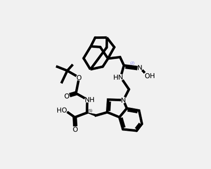 CC(C)(C)OC(=O)N[C@@H](Cc1cn(CN/C(CC23CC4CC(CC(C4)C2)C3)=N\O)c2ccccc12)C(=O)O